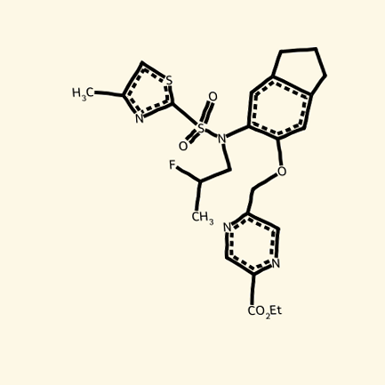 CCOC(=O)c1cnc(COc2cc3c(cc2N(CC(C)F)S(=O)(=O)c2nc(C)cs2)CCC3)cn1